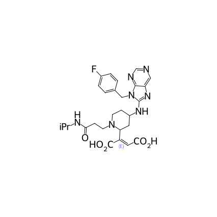 CC(C)NC(=O)CCN1CCC(Nc2nc3cncnc3n2Cc2ccc(F)cc2)CC1/C(=C\C(=O)O)C(=O)O